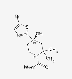 COC(=O)[C@@H]1CC[C@](O)(c2ncc(Br)s2)CC1(C)C